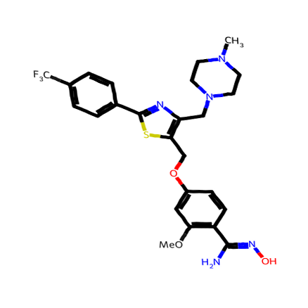 COc1cc(OCc2sc(-c3ccc(C(F)(F)F)cc3)nc2CN2CCN(C)CC2)ccc1/C(N)=N/O